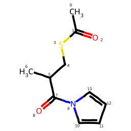 CC(=O)SCC(C)C(=O)n1cccc1